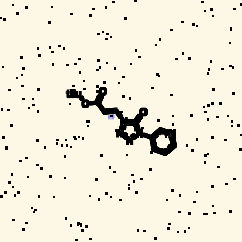 CC(C)(C)OC(=O)/C=C/n1nnn(-c2cccnc2)c1=O